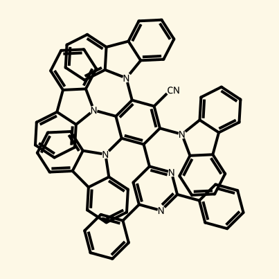 N#Cc1c(-n2c3ccccc3c3ccccc32)c(-c2cc(-c3ccccc3)nc(-c3ccccc3)n2)c(-n2c3ccccc3c3ccccc32)c(-n2c3ccccc3c3ccccc32)c1-n1c2ccccc2c2ccccc21